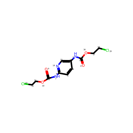 O=C(Nc1ccc(NC(=O)OCCCl)nc1)OCCCl